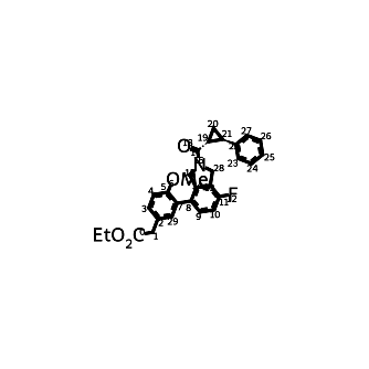 CCOC(=O)Cc1ccc(OC)c(-c2ccc(F)c3c2CN(C(=O)[C@@H]2C[C@H]2c2ccccc2)C3)c1